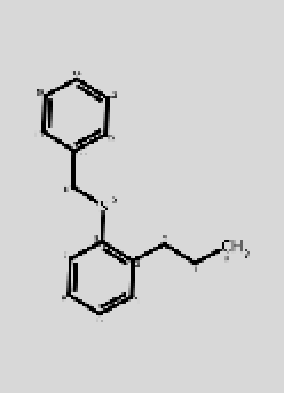 CCCc1ccc[c]c1SCc1ccccc1